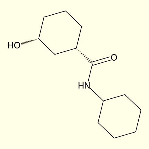 O=C(NC1CCCCC1)[C@H]1CCC[C@@H](O)C1